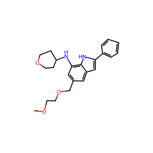 COCCOCc1cc(NC2CCOCC2)c2[nH]c(-c3ccccc3)cc2c1